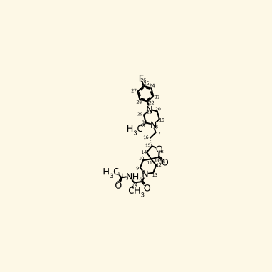 CC(=O)N[C@@H](C)C(=O)N1CCC2(CC1)C[C@H](CCN1CCN(c3ccc(F)cc3)C[C@@H]1C)OC2=O